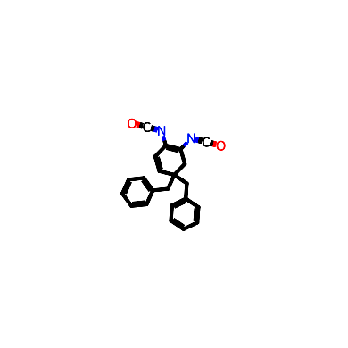 O=C=NC1=C(N=C=O)CC(Cc2ccccc2)(Cc2ccccc2)C=C1